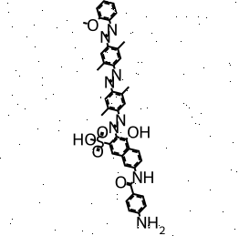 COc1ccccc1N=Nc1cc(C)c(N=Nc2cc(C)c(N=Nc3c(S(=O)(=O)O)cc4cc(NC(=O)c5ccc(N)cc5)ccc4c3O)cc2C)cc1C